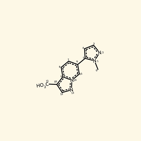 Cn1nccc1-c1ccc2c(C(=O)O)cnn2c1